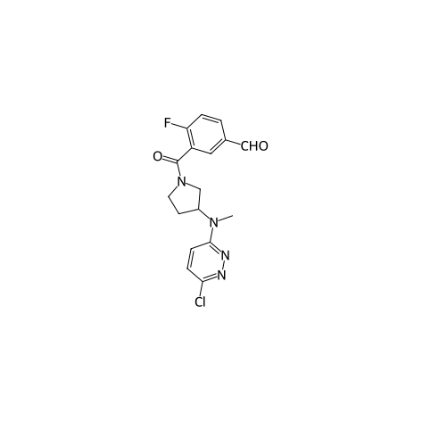 CN(c1ccc(Cl)nn1)C1CCN(C(=O)c2cc(C=O)ccc2F)C1